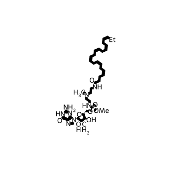 CC/C=C\C/C=C\C/C=C\C/C=C\C/C=C\C/C=C\CCC(=O)NCCN(C)CCNP(=O)(OC)OC[C@H]1O[C@@H](n2cnc3c(=O)[nH]c(N)nc32)[C@](C)(O)[C@@H]1O